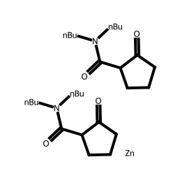 CCCCN(CCCC)C(=O)C1CCCC1=O.CCCCN(CCCC)C(=O)C1CCCC1=O.[Zn]